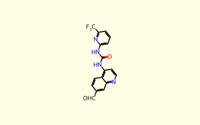 O=Cc1ccc2c(NC(=O)Nc3cccc(C(F)(F)F)n3)ccnc2c1